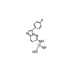 CC(C)[C@@H](CO)Nc1ccc2ncc(-c3ccc(F)cc3)n2n1